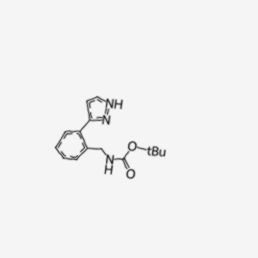 CC(C)(C)OC(=O)NCc1ccccc1-c1cc[nH]n1